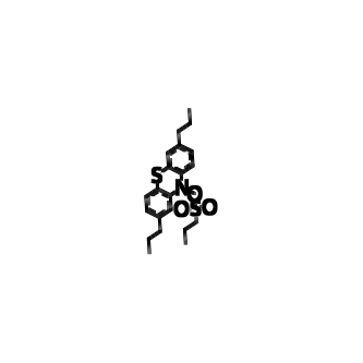 CCCc1ccc2c(c1)Sc1ccc(CCC)cc1N2OS(=O)(=O)CCC